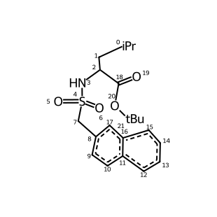 CC(C)CC(NS(=O)(=O)Cc1ccc2ccccc2c1)C(=O)OC(C)(C)C